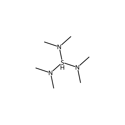 CN(C)[SH](N(C)C)N(C)C